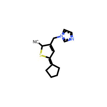 N#CC1SC(=C2CCCC2)C=C1Cn1ccnc1